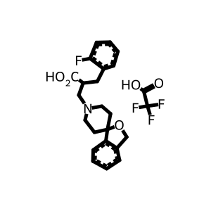 O=C(O)C(Cc1ccccc1F)CN1CCC2(CC1)OCc1ccccc12.O=C(O)C(F)(F)F